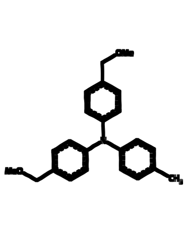 COCc1ccc(N(c2ccc(C)cc2)c2ccc(COC)cc2)cc1